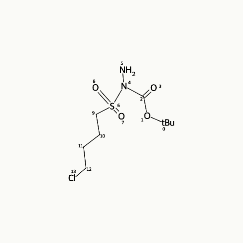 CC(C)(C)OC(=O)N(N)S(=O)(=O)CCCCCl